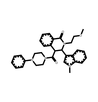 COCCN1C(=O)c2ccccc2C(C(=O)N2CCN(c3ccccc3)CC2)C1c1cn(C)c2ccccc12